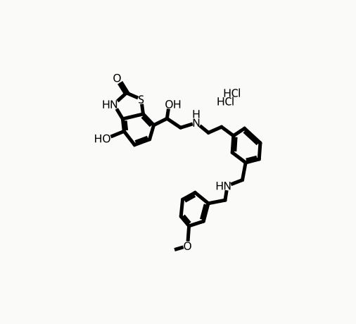 COc1cccc(CNCc2cccc(CCNCC(O)c3ccc(O)c4[nH]c(=O)sc34)c2)c1.Cl.Cl